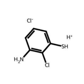 Nc1cccc(S)c1Cl.[Cl-].[H+]